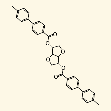 Cc1ccc(-c2ccc(C(=O)O[C@@H]3COC4C3OC[C@H]4OC(=O)c3ccc(-c4ccc(C)cc4)cc3)cc2)cc1